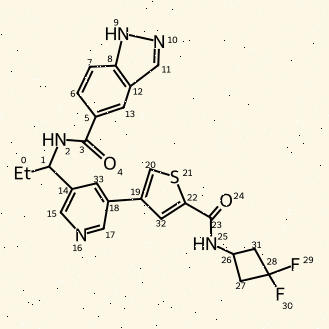 CCC(NC(=O)c1ccc2[nH]ncc2c1)c1cncc(-c2csc(C(=O)NC3CC(F)(F)C3)c2)c1